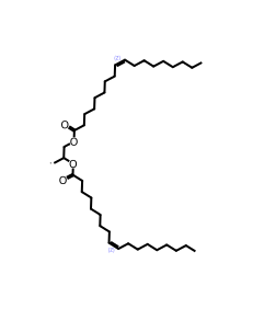 [CH2]C(COC(=O)CCCCCCC/C=C\CCCCCCCC)OC(=O)CCCCCCC/C=C\CCCCCCCC